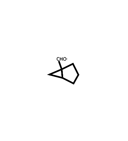 O=[C]C12CCCC1C2